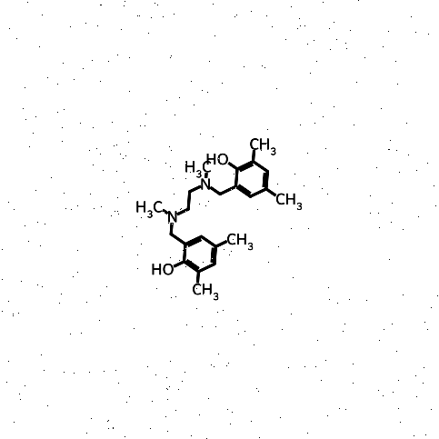 Cc1cc(C)c(O)c(CN(C)CCN(C)Cc2cc(C)cc(C)c2O)c1